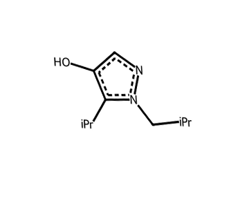 CC(C)Cn1ncc(O)c1C(C)C